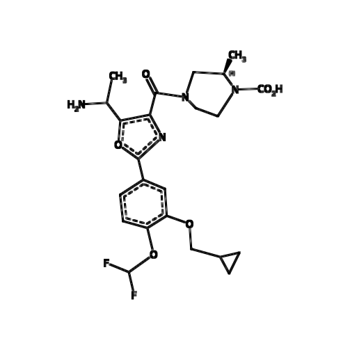 CC(N)c1oc(-c2ccc(OC(F)F)c(OCC3CC3)c2)nc1C(=O)N1CCN(C(=O)O)[C@H](C)C1